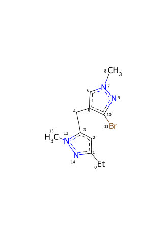 CCc1cc(Cc2cn(C)nc2Br)n(C)n1